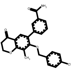 Cc1c2c(cc(-c3cccc(C(N)=O)c3)c1OCc1ccc(Cl)cc1)C(=O)CCO2